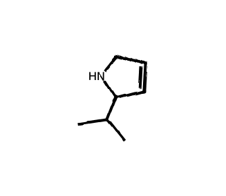 CC(C)C1C=CCN1